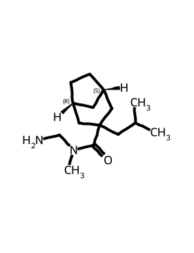 CC(C)CC1(C(=O)N(C)CN)C[C@@H]2CC[C@@H](C2)C1